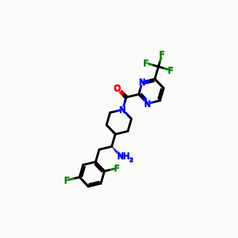 N[C@H](Cc1cc(F)ccc1F)C1CCN(C(=O)c2nccc(C(F)(F)F)n2)CC1